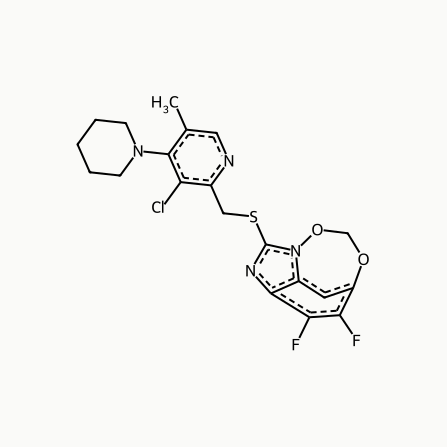 Cc1cnc(CSc2nc3c(F)c(F)c4cc3n2OCO4)c(Cl)c1N1CCCCC1